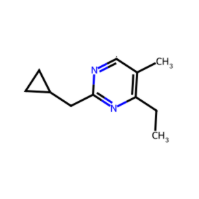 CCc1nc(CC2CC2)n[c]c1C